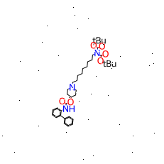 CC(C)(C)OC(=O)N(CCCCCCCCCN1CCC(OC(=O)Nc2ccccc2-c2ccccc2)CC1)C(=O)OC(C)(C)C